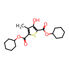 Cc1c(C(=O)OC2CCCCC2)sc(C(=O)OC2CCCCC2)c1O